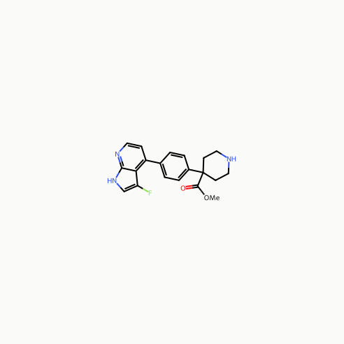 COC(=O)C1(c2ccc(-c3ccnc4[nH]cc(F)c34)cc2)CCNCC1